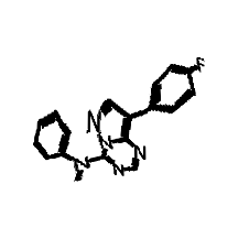 CN(c1ccccc1)c1ncnc2c(-c3ccc(F)cc3)cnn12